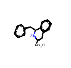 O=C(O)C1Cc2ccccc2C(Cc2ccccc2)N1